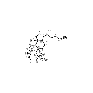 CC[C@@]12CC[C@H]([C@H](C)CCCC(C)C)[C@@]1(C)CC[C@H]1C2=CC[C@H]2CCCC(OC(C)=O)(OC(C)=O)[C@@]21C